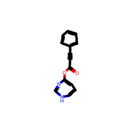 O=C(C#Cc1ccccc1)OC1=CC=CNC=N1